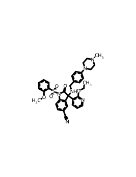 CCOc1ncccc1C1(NCc2ccc(N3CCN(C)CC3)cc2)C(=O)N(S(=O)(=O)c2ccccc2OC)c2ccc(C#N)cc21